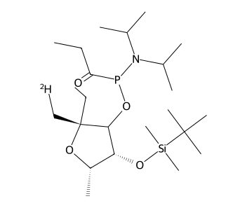 [2H]C[C@]1(CC)O[C@@H](C)[C@@H](O[Si](C)(C)C(C)(C)C)C1OP(C(=O)CC)N(C(C)C)C(C)C